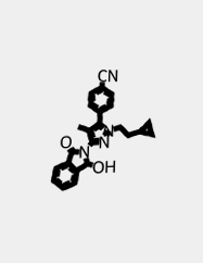 Cc1c(N2C(=O)c3ccccc3C2O)nn(CCC2CC2)c1-c1ccc(C#N)cc1